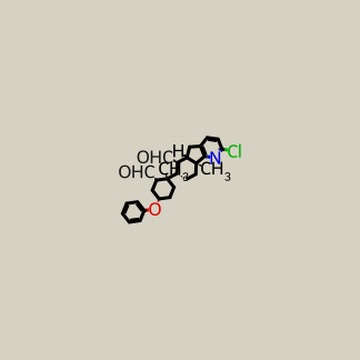 C[C@]1([C@H]2CC[C@]3(C)c4nc(Cl)ccc4C[C@H]3[C@@H]2C=O)CC[C@H](Oc2ccccc2)C[C@@H]1C=O